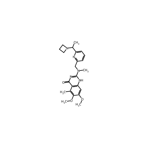 COc1cc2[nH]c(N(C)Cc3cccc(C(C)N4CCC4)n3)nc(=O)c2c(C)c1OC